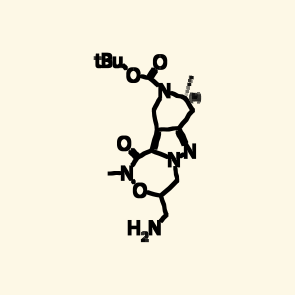 C[C@@H]1Cc2nn3c(c2CN1C(=O)OC(C)(C)C)C(=O)N(C)OC(CN)C3